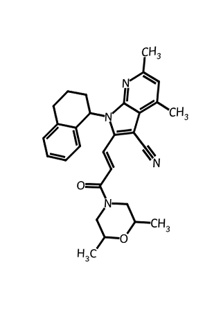 Cc1cc(C)c2c(C#N)c(C=CC(=O)N3CC(C)OC(C)C3)n(C3CCCc4ccccc43)c2n1